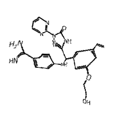 C=Cc1cc(OCCO)cc(C(Nc2ccc(C(=N)N)cc2)c2nn(-c3ncccn3)c(=O)[nH]2)c1